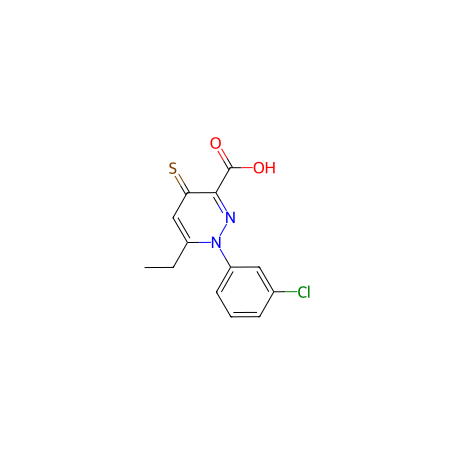 CCc1cc(=S)c(C(=O)O)nn1-c1cccc(Cl)c1